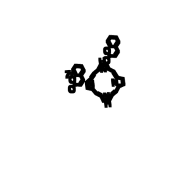 C1=Cc2cc3ccc(cc4nc(cc5ccc(cc1n2)[nH]5)C=C4)[nH]3.O=c1ccc2ccccc2o1.O=c1ccc2ccccc2o1.[Zn]